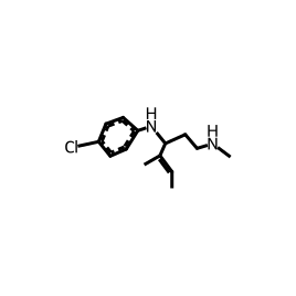 C/C=C(\C)C(CCNC)Nc1ccc(Cl)cc1